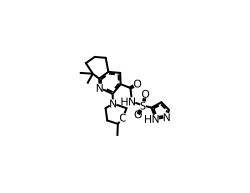 CC1CCN(c2nc3c(cc2C(=O)NS(=O)(=O)c2ccn[nH]2)CCCC3(C)C)CC1